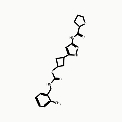 Cc1ccccc1CNC(=O)OC1CC(c2cc(NC(=O)C3CCCO3)n[nH]2)C1